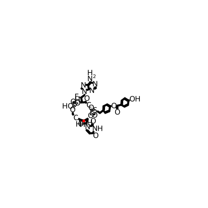 Nc1ncnc2c1ncn2[C@@H]1OC2CO[P@@](=O)(SCc3ccc(OC(=O)c4ccc(O)cc4)cc3)O[C@@H]3[C@H](F)[C@@H](CCOP(=O)(O)O[C@H]2[C@H]1F)O[C@H]3n1ccc(=O)[nH]c1=O